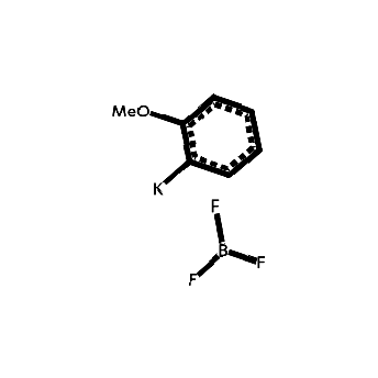 COc1cccc[c]1[K].FB(F)F